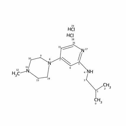 CC(C)CNc1cc(N2CCN(C)CC2)ccn1.Cl.Cl